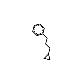 [CH](CCc1ccccc1)C1CC1